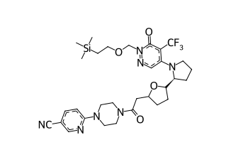 C[Si](C)(C)CCOCn1ncc(N2CCC[C@H]2C2CCC(CC(=O)N3CCN(c4ccc(C#N)cn4)CC3)O2)c(C(F)(F)F)c1=O